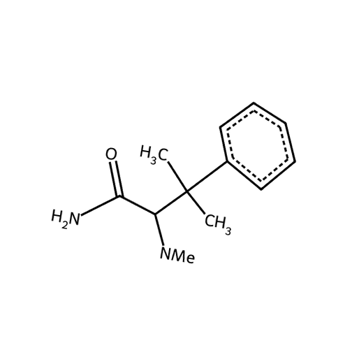 CNC(C(N)=O)C(C)(C)c1ccccc1